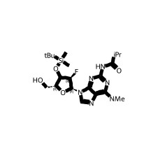 CNc1nc(NC(=O)C(C)C)nc2c1ncn2[C@@H]1O[C@H](CO)C(O[Si](C)(C)C(C)(C)C)[C@H]1F